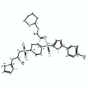 O=C(NOC1CCCCO1)[C@H]1CN(S(=O)(=O)CC(S)Cc2ncc[nH]2)CCN1S(=O)(=O)c1ccc(-c2ccc(Cl)cc2)s1